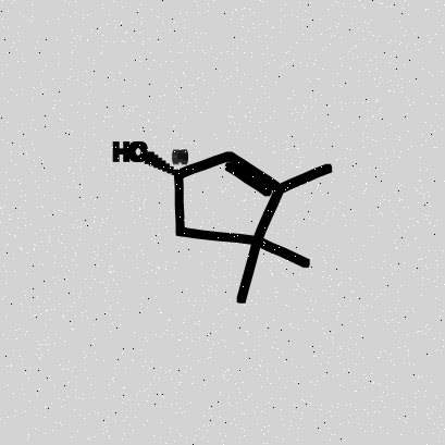 CC1=C[C@@H](O)CC1(C)C